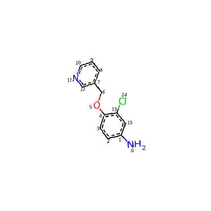 Nc1ccc(OCc2cccnc2)c(Cl)c1